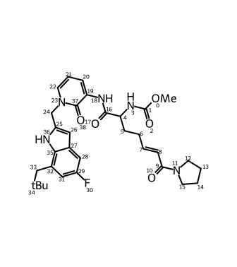 COC(=O)NC(CCC=CC(=O)N1CCCC1)C(=O)Nc1cccn(Cc2cc3cc(F)cc(CC(C)(C)C)c3[nH]2)c1=O